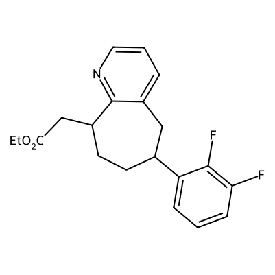 CCOC(=O)CC1CCC(c2cccc(F)c2F)Cc2cccnc21